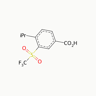 CC(C)c1ccc(C(=O)O)cc1S(=O)(=O)C(F)(F)F